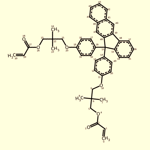 C=CC(=O)OCC(C)(C)COc1ccc(C2(c3ccc(OCC(C)(C)COC(=O)C=C)cc3)c3ccccc3-c3cc4ccccc4cc32)cc1